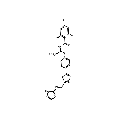 CCc1cc(F)cc(C)c1C(=O)NC(Cc1ccc(-c2cnc(CNc3ncc[nH]3)s2)cc1)C(=O)O